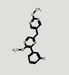 COc1ncc(Cc2cnc(OC)c(-c3cccc(Cl)c3)n2)cn1